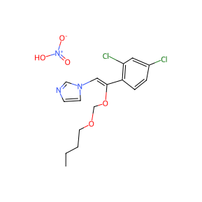 CCCCOCOC(=Cn1ccnc1)c1ccc(Cl)cc1Cl.O=[N+]([O-])O